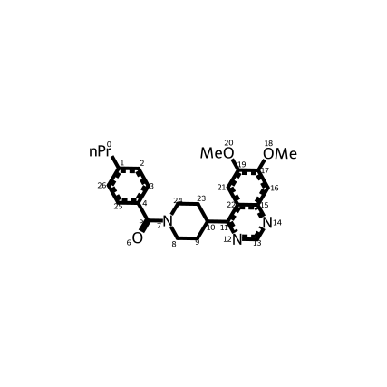 CCCc1ccc(C(=O)N2CCC(c3ncnc4cc(OC)c(OC)cc34)CC2)cc1